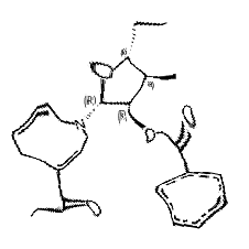 CC[C@H]1O[C@@H](N2C=CCC(C(C)=O)=C2)[C@H](OC(=O)c2ccccc2)[C@@H]1C